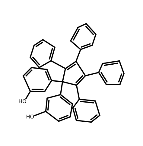 Oc1cccc(C2(c3cccc(O)c3)C(c3ccccc3)=C(c3ccccc3)C(c3ccccc3)=C2c2ccccc2)c1